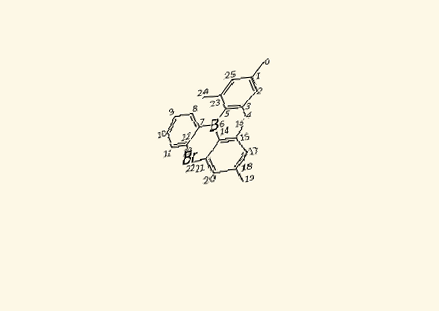 Cc1cc(C)c(B(c2ccccc2Br)c2c(C)cc(C)cc2C)c(C)c1